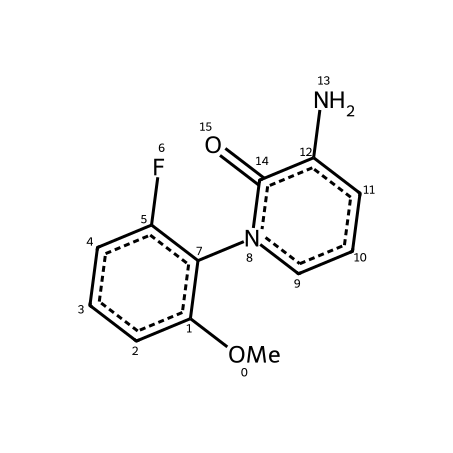 COc1cccc(F)c1-n1cccc(N)c1=O